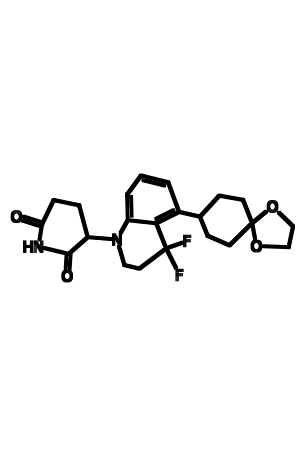 O=C1CCC(N2CCC(F)(F)c3c(C4CCC5(CC4)OCCO5)cccc32)C(=O)N1